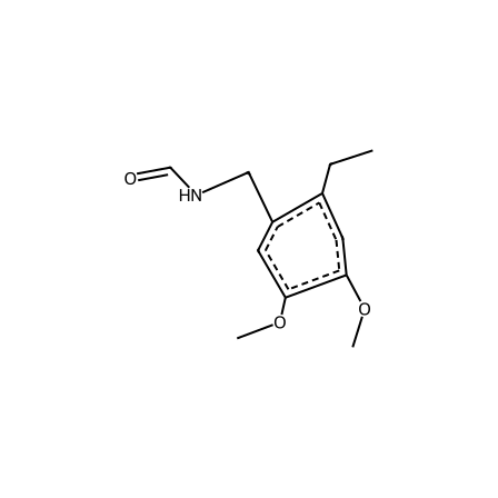 CCc1cc(OC)c(OC)cc1CNC=O